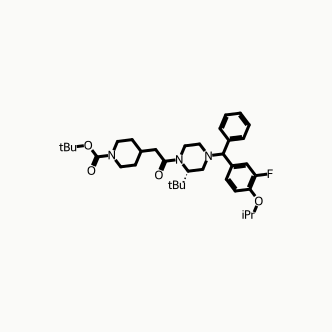 CC(C)Oc1ccc(C(c2ccccc2)N2CCN(C(=O)CC3CCN(C(=O)OC(C)(C)C)CC3)[C@@H](C(C)(C)C)C2)cc1F